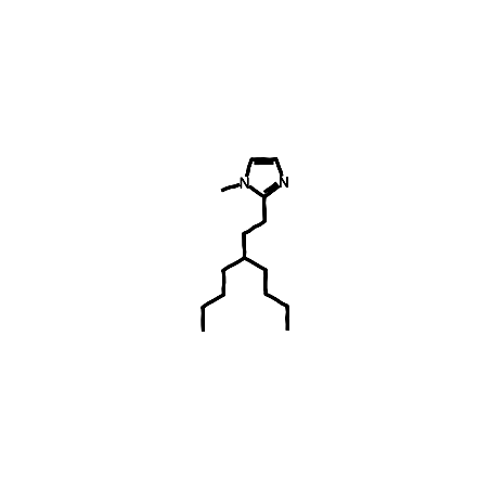 CCCCC(CCCC)CCc1nccn1C